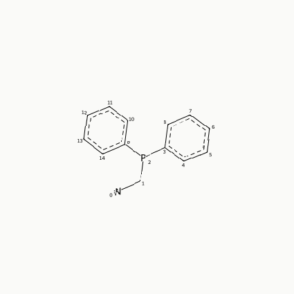 [N]CP(c1ccccc1)c1ccccc1